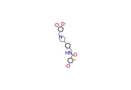 COc1ccc(C(=O)NCc2ccc(C3CCN(Cc4ccc(OC)c(OC)c4)CC3)cc2)c(C)c1